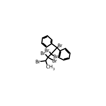 CC(Br)C(Br)(Br)C(Br)(Br)C(Br)(c1ccccc1)c1ccccc1